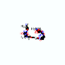 Cc1ncsc1-c1ccc(CNC(=O)[C@@H]2C[C@@H](O)CN2C(=O)[C@@H](NC(=O)CCCCCCCCCCCNC(=O)c2ccc3c(c2)[C@H](NC(=O)c2cc(-c4ccc(C(=O)N(C)C)c(O)c4)on2)CC3)C(C)(C)C)cc1